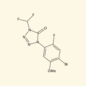 COc1cc(-n2nnn(C(F)F)c2=O)c(F)cc1Br